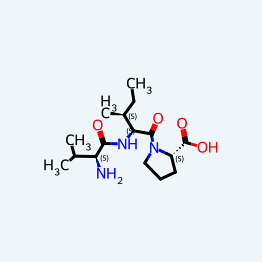 CC[C@H](C)[C@H](NC(=O)[C@@H](N)C(C)C)C(=O)N1CCC[C@H]1C(=O)O